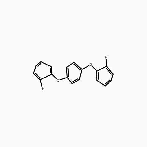 Fc1ccccc1Oc1ccc(Oc2ccccc2F)cc1